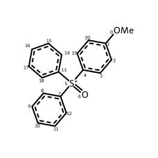 COc1ccc([S+](=O)(c2ccccc2)c2ccccc2)cc1